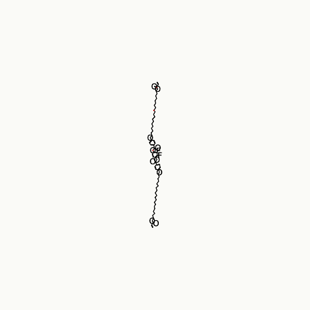 C=CC(=O)OCCCCCCCCCCCCCCCCCCCCOc1ccc(C(=O)Oc2ccc(OC(=O)c3ccc(OCCCCCCCCCCCCCCCCCCCCOC(=O)C=C)cc3)c(F)c2F)cc1